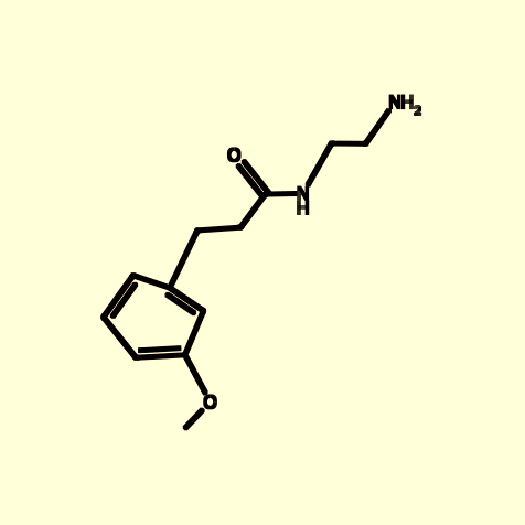 COc1cccc(CCC(=O)NCCN)c1